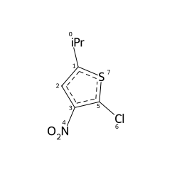 CC(C)c1cc([N+](=O)[O-])c(Cl)s1